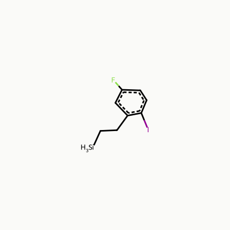 Fc1ccc(I)c(CC[SiH3])c1